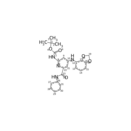 CC(C)(C)OC(=O)Nc1cc(Nc2cccc3c2OCO3)cc(C(=O)Nc2ccccc2)n1